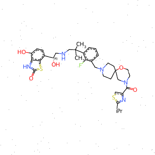 CC(C)c1nc(C(=O)N2CCOC3(CCN(Cc4cccc(C(C)(C)CNC[C@H](O)c5ccc(O)c6[nH]c(=O)sc56)c4F)CC3)C2)cs1